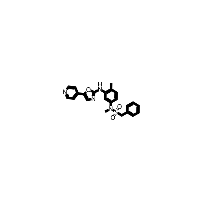 Cc1ccc(N(C)S(=O)(=O)Cc2ccccc2)cc1Nc1ncc(-c2ccncc2)o1